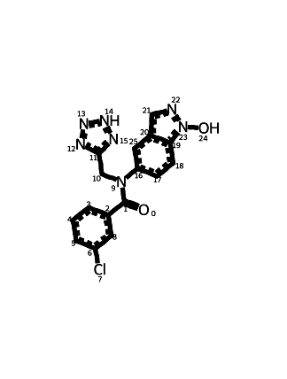 O=C(c1cccc(Cl)c1)N(Cc1nn[nH]n1)c1ccc2c(cnn2O)c1